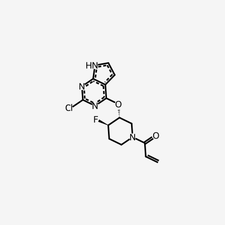 C=CC(=O)N1CC[C@@H](F)[C@H](Oc2nc(Cl)nc3[nH]ccc23)C1